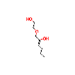 CCCC=C(O)COCCO